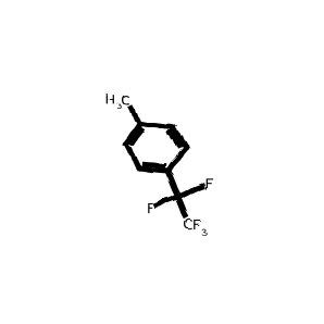 Cc1[c]cc(C(F)(F)C(F)(F)F)cc1